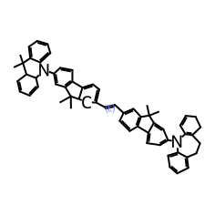 CC1(C)c2cc(/C=C/C3=CC=C4c5ccc(N6c7ccccc7C(C)(C)C7C=CC=CC76)cc5C(C)(C)C4C3)ccc2-c2ccc(N3C4=C(CCC=C4)CCc4ccccc43)cc21